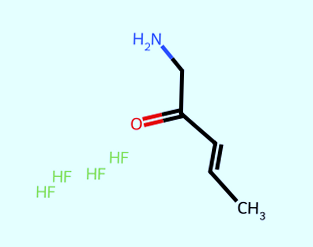 CC=CC(=O)CN.F.F.F.F